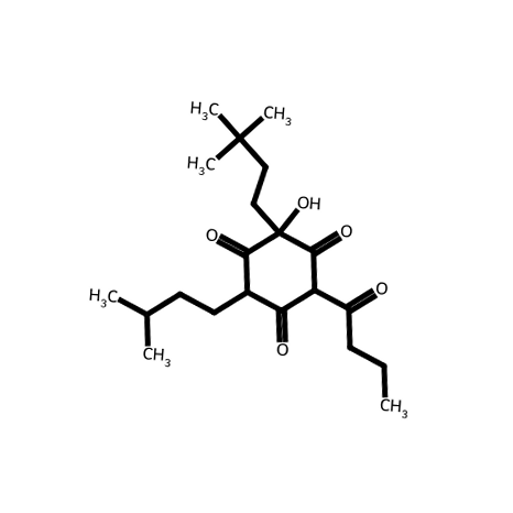 CCCC(=O)C1C(=O)C(CCC(C)C)C(=O)C(O)(CCC(C)(C)C)C1=O